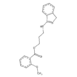 COc1ccccc1C(=O)OCCCNC1=NCc2ccccc21